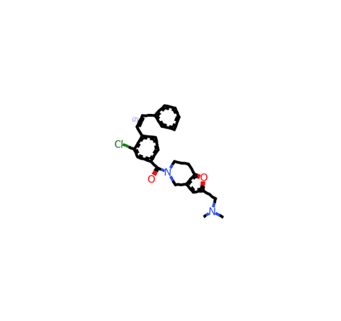 CN(C)Cc1cc2c(o1)CCN(C(=O)c1ccc(/C=C\c3ccccc3)c(Cl)c1)C2